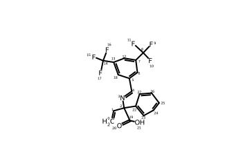 C=CC(N=Cc1cc(C(F)(F)F)cc(C(F)(F)F)c1)(C(=O)O)c1ccccc1